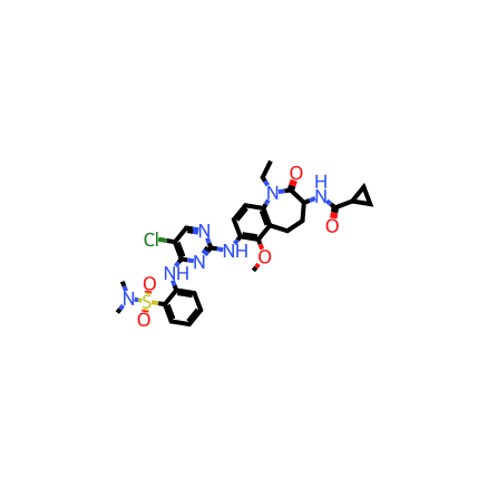 CCN1C(=O)C(NC(=O)C2CC2)CCc2c1ccc(Nc1ncc(Cl)c(Nc3ccccc3S(=O)(=O)N(C)C)n1)c2OC